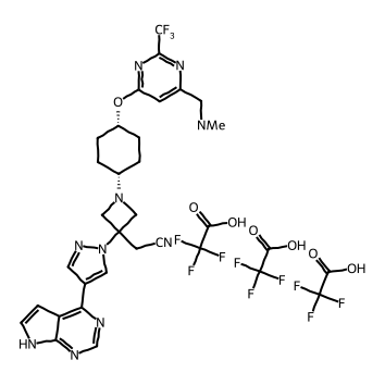 CNCc1cc(O[C@H]2CC[C@@H](N3CC(CC#N)(n4cc(-c5ncnc6[nH]ccc56)cn4)C3)CC2)nc(C(F)(F)F)n1.O=C(O)C(F)(F)F.O=C(O)C(F)(F)F.O=C(O)C(F)(F)F